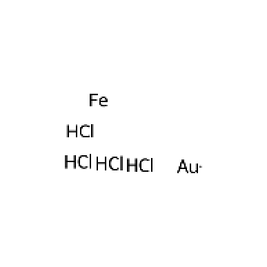 Cl.Cl.Cl.Cl.[Au].[Fe]